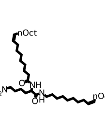 CCCCCCCC/C=C\CCCCCCCCNC(=O)C(CCCCN)NC(=O)CCCCCCC/C=C\CCCCCCCC